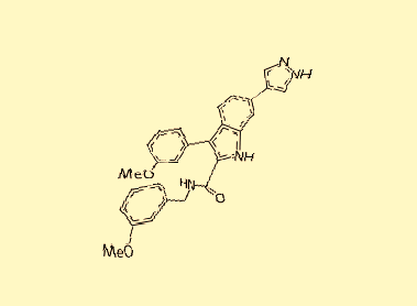 COc1cccc(CNC(=O)c2[nH]c3cc(-c4cn[nH]c4)ccc3c2-c2cccc(OC)c2)c1